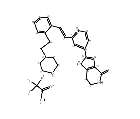 O=C(O)C(F)(F)F.O=C1NCCc2[nH]c(-c3ccnc(C=Cc4ccccc4CCN4CCOCC4)c3)cc21